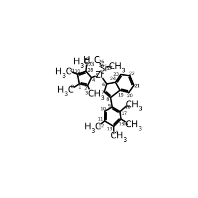 CC1=C(C)[CH]([Zr]([CH]2C=C(c3cc(C)c(C)c(C)c3C)c3ccccc32)=[Si](C)C)C(C)=C1C